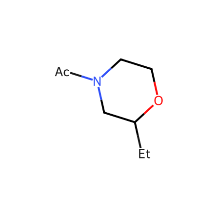 CCC1CN(C(C)=O)CCO1